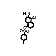 Cc1ccc(S(=O)(=O)Oc2cccc3c(Cl)c(N)ccc23)cc1